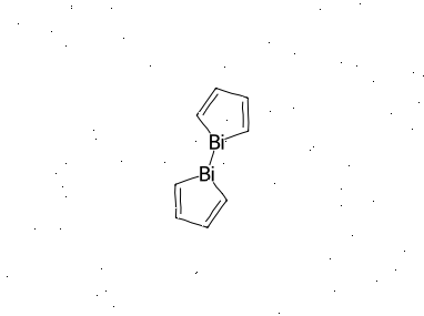 C1=[CH][Bi]([Bi]2[CH]=CC=[CH]2)[CH]=C1